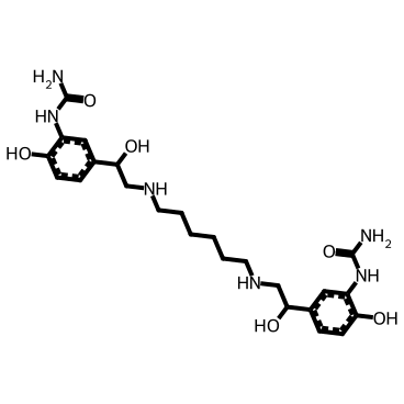 NC(=O)Nc1cc(C(O)CNCCCCCCNCC(O)c2ccc(O)c(NC(N)=O)c2)ccc1O